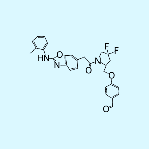 Cc1ccccc1Nc1nc2ccc(CC(=O)N3CC(F)(F)CC3COc3ccc(C=O)cc3)cc2o1